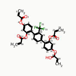 C=CC(=O)Oc1ccc(-c2ccc(-c3ccc(OC(O)C=C)cc3OC(=O)C=C)cc2C(F)(F)F)c(OC(=O)C=C)c1